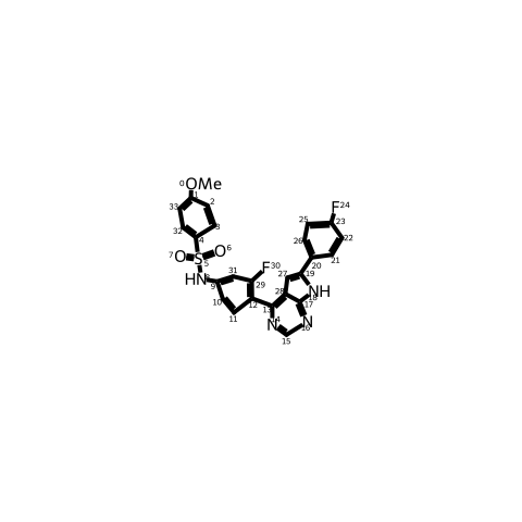 COc1ccc(S(=O)(=O)Nc2ccc(-c3ncnc4[nH]c(-c5ccc(F)cc5)cc34)c(F)c2)cc1